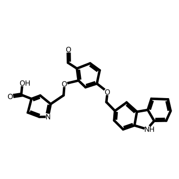 O=Cc1ccc(OCc2ccc3[nH]c4ccccc4c3c2)cc1OCc1cc(C(=O)O)ccn1